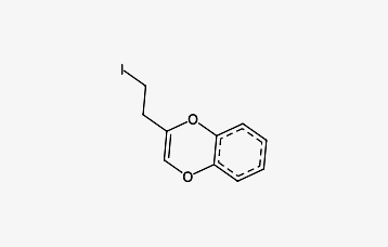 ICCC1=COc2ccccc2O1